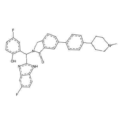 CN1CCC(c2ccc(-c3ccc4c(c3)C(=O)N(C(c3nc5cc(F)ccc5[nH]3)c3cc(F)ccc3O)C4)cc2)CC1